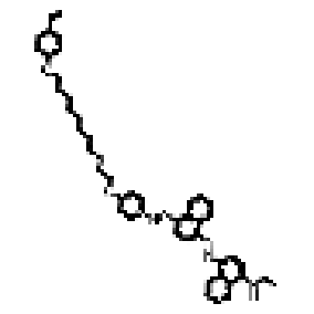 C=Cc1ccc(OCCCCCCCCCCCOc2ccc(/N=N/c3ccc(/N=N/c4ccc(NCC)c5ccccc45)c4ccccc34)cc2)cc1